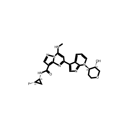 CNc1cc(-c2cnc3n([C@@H]4CCOC[C@H]4O)cccc2-3)nc2c(C(=O)N[C@@H]3C[C@@H]3F)cnn12